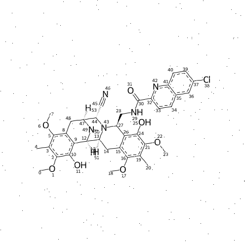 COc1c(C)c(OC)c2c(c1O)[C@@H]1[C@@H]3Cc4c(OC)c(C)c(OC)c(O)c4[C@H](CNC(=O)c4ccc5cc(Cl)ccc5n4)N3[C@@H](C#N)[C@H](C2)N1C